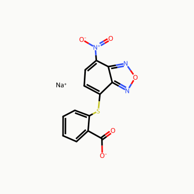 O=C([O-])c1ccccc1Sc1ccc([N+](=O)[O-])c2nonc12.[Na+]